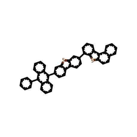 c1ccc(-c2c3ccccc3c(-c3ccc4c(c3)sc3cc(-c5cccc6c5sc5ccc7ccccc7c56)ccc34)c3ccccc23)cc1